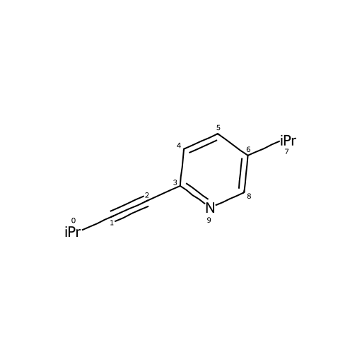 CC(C)C#Cc1ccc(C(C)C)cn1